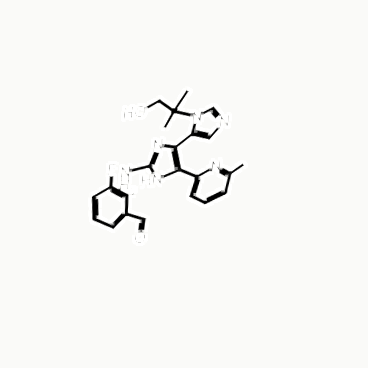 Cc1cccc(-c2[nH]c(N)nc2-c2cncn2C(C)(C)CO)n1.O=Cc1cccc(F)c1